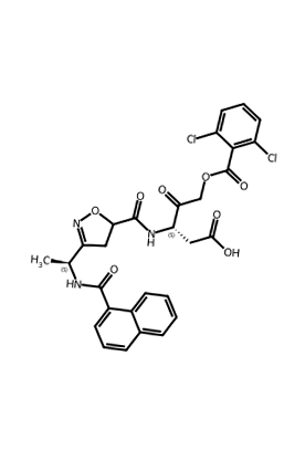 C[C@H](NC(=O)c1cccc2ccccc12)C1=NOC(C(=O)N[C@@H](CC(=O)O)C(=O)COC(=O)c2c(Cl)cccc2Cl)C1